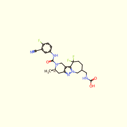 C[C@@H]1Cc2nn3c(c2CN1C(=O)Nc1ccc(F)c(C#N)c1)C(F)(F)CCC(CNC(=O)O)C3